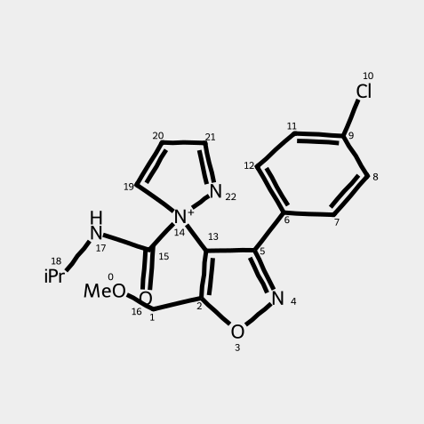 COCc1onc(-c2ccc(Cl)cc2)c1[N+]1(C(=O)NC(C)C)C=CC=N1